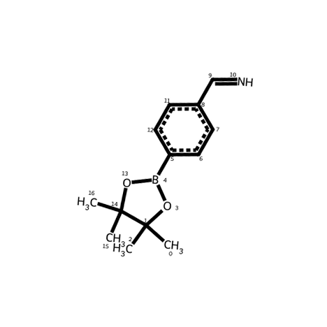 CC1(C)OB(c2ccc(C=N)cc2)OC1(C)C